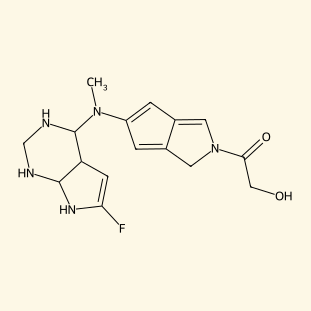 CN(C1=CC2=CN(C(=O)CO)CC2=C1)C1NCNC2NC(F)=CC21